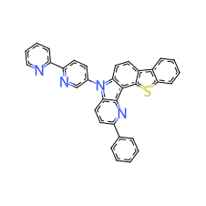 c1ccc(-c2ccc3c(n2)c2c4sc5ccccc5c4ccc2n3-c2ccc(-c3ccccn3)nc2)cc1